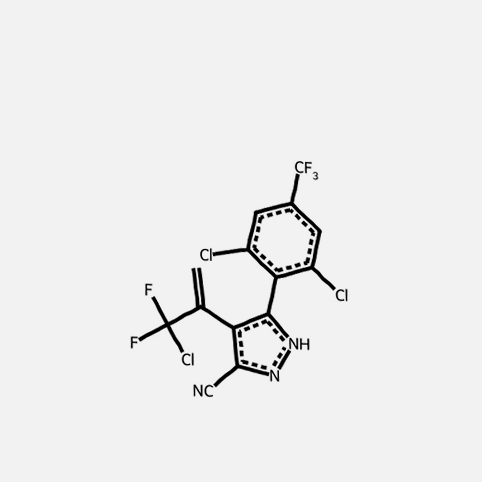 C=C(c1c(C#N)n[nH]c1-c1c(Cl)cc(C(F)(F)F)cc1Cl)C(F)(F)Cl